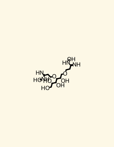 N=C(CCOCC(O)C(OCCC(=N)NO)C(O)C(O)CO)NO